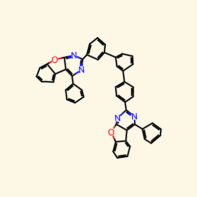 c1ccc(-c2nc(-c3ccc(-c4cccc(-c5cccc(-c6nc(-c7ccccc7)c7c(n6)oc6ccccc67)c5)c4)cc3)nc3oc4ccccc4c23)cc1